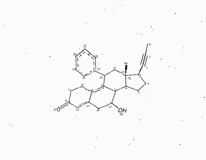 CC#CC1CCC2C3C(=C4CCC(=O)C=C4CC3O)C(c3[c]cccc3)C[C@]12C